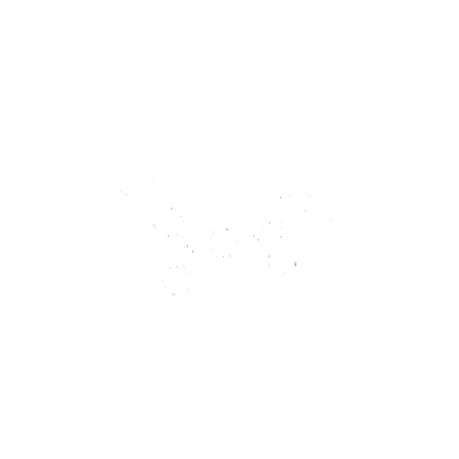 C1=CC(c2ccc(N(c3ccccc3)c3ccc(-n4c5ccccc5c5c6c7c(oc6ccc54)CCC=C7)cc3)cc2)=CCCC1